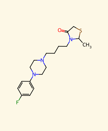 CC1SCC(=O)N1CCCCN1CCN(c2ccc(F)cc2)CC1